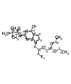 CCOP(COC(CF)Cn1ccc2c(Cl)nc(NC(=O)C(C)(C)C)nc21)OCC